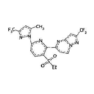 CCS(=O)(=O)c1ccc(-n2nc(C(F)(F)F)cc2C)nc1-c1ccn2nc(C(F)(F)F)cc2n1